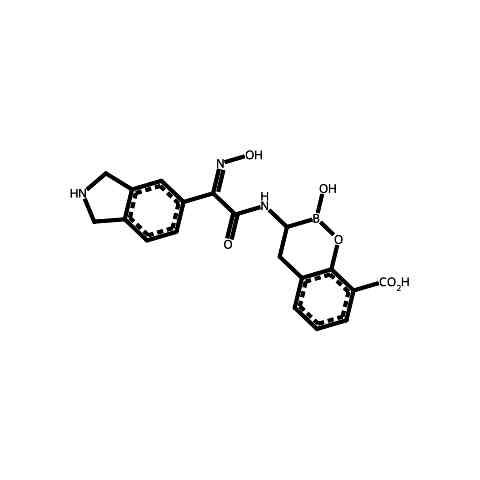 O=C(NC1Cc2cccc(C(=O)O)c2OB1O)C(=NO)c1ccc2c(c1)CNC2